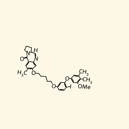 COc1cc(Oc2cc(OCCCCCOc3cc4c(cc3C)C(=O)N3CCC[C@H]3C=N4)ccc2I)cc(C)c1C